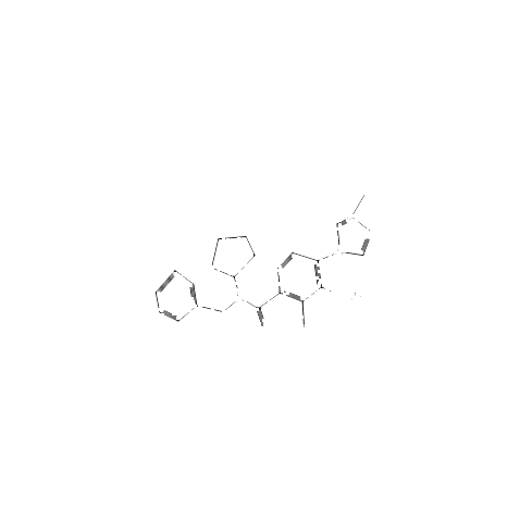 COc1c(-n2cnc(C)c2)ccc(C(=O)N(Cc2ccccc2)C2CCCC2)c1F